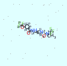 CN(CC(F)(F)F)C(=O)CN1CC2C(CNC(=O)c3cccc(OC(F)(F)F)c3)C2C1